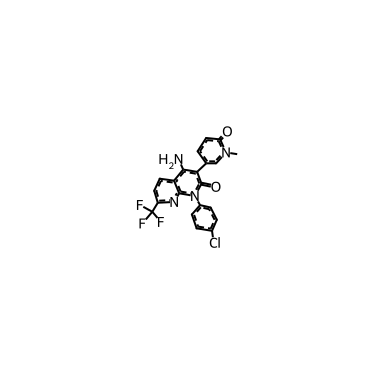 Cn1cc(-c2c(N)c3ccc(C(F)(F)F)nc3n(-c3ccc(Cl)cc3)c2=O)ccc1=O